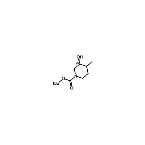 CC1CCN(C(=O)OC(C)(C)C)C[C@H]1O